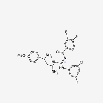 COc1ccc(C(N)CC(N)N/C(=N\C(=O)c2ccc(F)c(F)c2)Nc2cc(F)cc(Cl)c2)cc1